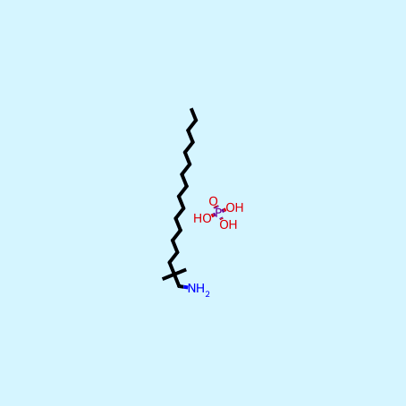 CCCCCCCCCCCCCCCC(C)(C)CN.O=P(O)(O)O